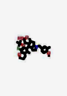 COc1ccc(Cn2ccc3c(-c4cc(F)c5c(c4C)CCCO5)c([C@H](OC(C)(C)C)C(=O)O)c(C)cc32)cc1C